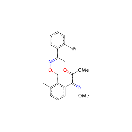 CO/N=C(/C(=O)OC)c1cccc(C)c1CO/N=C(\C)c1ccccc1C(C)C